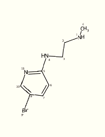 CNCCNc1ccc(Br)cn1